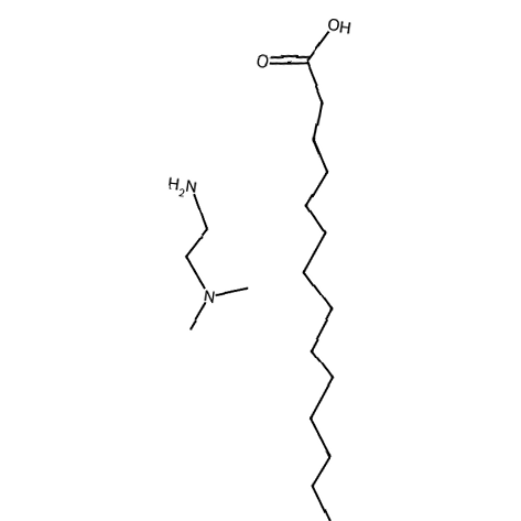 CCCCCCCCCCCCCC(=O)O.CN(C)CCN